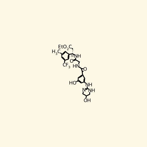 CCOC(=O)C[C@H](NC(=O)CNC1OC1c1cc(O)cc(NC2=NCC(O)CN2)c1)c1cc(C)cc(C(F)(F)F)c1